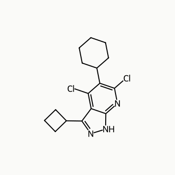 Clc1nc2[nH]nc(C3CCC3)c2c(Cl)c1C1CCCCC1